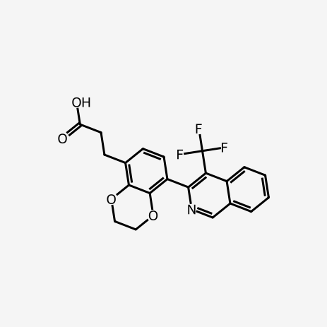 O=C(O)CCc1ccc(-c2ncc3ccccc3c2C(F)(F)F)c2c1OCCO2